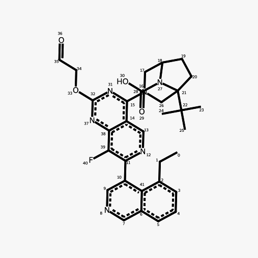 CCc1cccc2cncc(-c3ncc4c(N5CC6CCC(C(C)(C)C)(C5)N6C(=O)O)nc(OCC=O)nc4c3F)c12